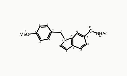 COc1ccc(Cn2ccc3ccc(ONC(C)=O)cc32)cc1